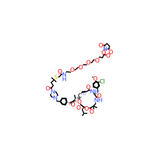 COc1ccc(C[C@H]2NC(=O)/C=C/C[C@@H](C(C)[C@H]3O[C@@H]3c3ccc(CN4CCN(C(=O)CCC(C)(C)SCC(=O)NCCOCCOCCOCCOCCC(=O)ON5C(=O)CCC5=O)CC4)cc3)OC(=O)[C@H](CC(C)C)OC(=O)C(C)(C)CNC2=O)cc1Cl